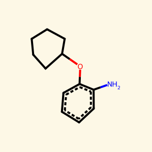 Nc1ccccc1OC1CCCCC1